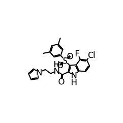 Cc1cc(C)cc(S(=O)(=O)c2c(C(=O)NCCn3cccc3)[nH]c3ccc(Cl)c(F)c23)c1